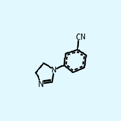 N#Cc1cccc(N2C=NCC2)c1